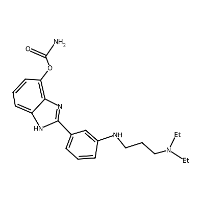 CCN(CC)CCCNc1cccc(-c2nc3c(OC(N)=O)cccc3[nH]2)c1